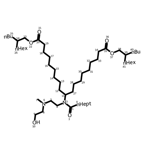 CCCCCCCC(=O)N(CCN(C)CCO)C(CCCCCCCCC(=O)OCC(CCCC)CCCCCC)CCCCCCCCC(=O)OCC(CCCC)CCCCCC